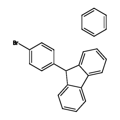 Brc1ccc(C2c3ccccc3-c3ccccc32)cc1.c1ccccc1